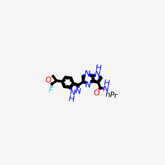 CCCNC(=O)c1c[nH]c2ncc(-c3n[nH]c4cc(C5COC5F)ccc34)nc12